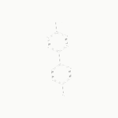 Cc1nnc(-c2ccc(N)cn2)nn1